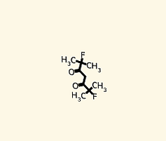 CC(C)(F)C(=O)CC(=O)C(C)(C)F